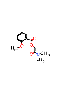 COc1ccccc1C(=O)OCC(=O)N(C)C